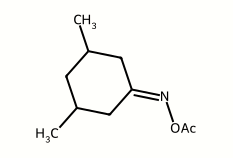 CC(=O)ON=C1CC(C)CC(C)C1